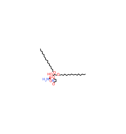 CCCCCCCCCCCCCCCCOCC(CO)OCCCCCCCCCCCCCCCC.NC(=O)ON1C(=O)CCC1=O